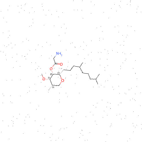 CO[C@@H]1[C@H](OC(=O)CN)[C@H](CCCC(C)CCCC(C)C)OC[C@@H]1C